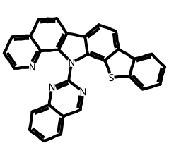 c1ccc2nc(-n3c4c(ccc5cccnc54)c4ccc5c6ccccc6sc5c43)ncc2c1